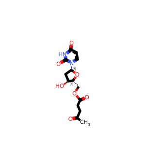 CC(=O)CCC(=O)OC[C@H]1O[C@@H](n2ccc(=O)[nH]c2=O)C[C@@H]1O